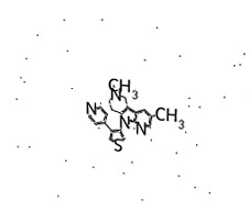 Cc1cnc2c(c1)c1c(n2-c2cscc2-c2ccncc2)CCN(C)C1